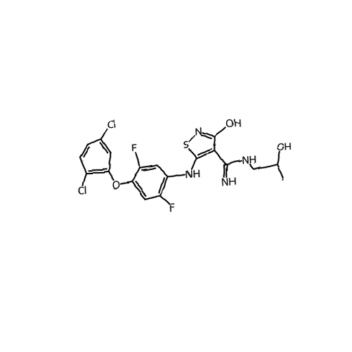 CC(O)CNC(=N)c1c(O)nsc1Nc1cc(F)c(Oc2cc(Cl)ccc2Cl)cc1F